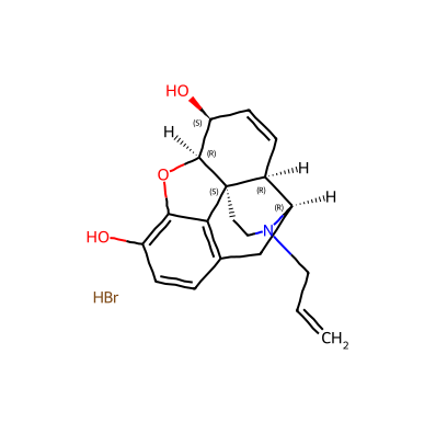 Br.C=CCN1CC[C@]23c4c5ccc(O)c4O[C@H]2[C@@H](O)C=C[C@H]3[C@H]1C5